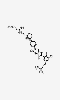 COCCC(=N)NCC[C@@H]1CCC[C@@H](c2ccc(-n3cc4cc(-c5cc(CCC[C@H](C)N)cc(Cl)c5F)[nH]c4nc3=O)cc2)N1